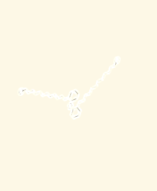 O=CCCCCCCCCCCCc1ccccc1Oc1ccccc1CCCCCCCCCCCC=O